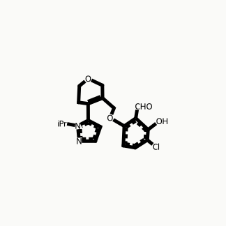 CC(C)n1nccc1C1=C(COc2ccc(Cl)c(O)c2C=O)COCC1